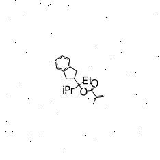 C=C(C)C(=O)OC(CC)(C(C)C)C1Cc2ccccc2C1